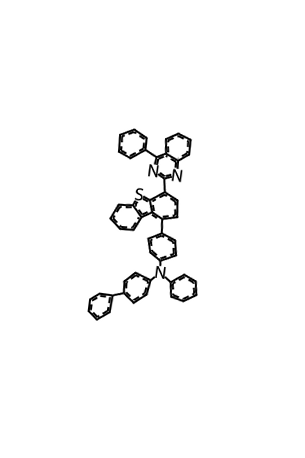 c1ccc(-c2ccc(N(c3ccccc3)c3ccc(-c4ccc(-c5nc(-c6ccccc6)c6ccccc6n5)c5sc6ccccc6c45)cc3)cc2)cc1